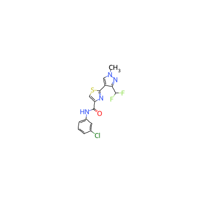 Cn1cc(-c2nc(C(=O)Nc3cccc(Cl)c3)cs2)c(C(F)F)n1